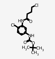 CC(C)(C)OC(=O)Nc1ccc(Cl)c(NC(=O)CCCCl)c1